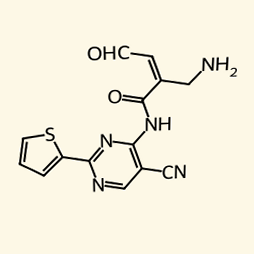 N#Cc1cnc(-c2cccs2)nc1NC(=O)/C(=C\C=O)CN